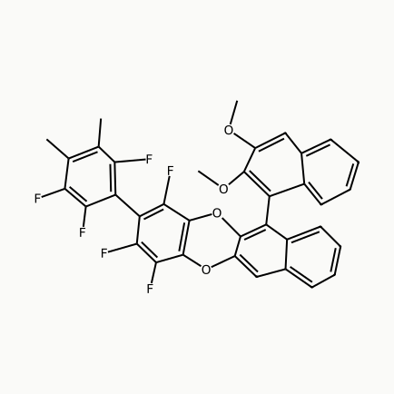 COc1cc2ccccc2c(-c2c3c(cc4ccccc24)Oc2c(F)c(F)c(-c4c(F)c(C)c(C)c(F)c4F)c(F)c2O3)c1OC